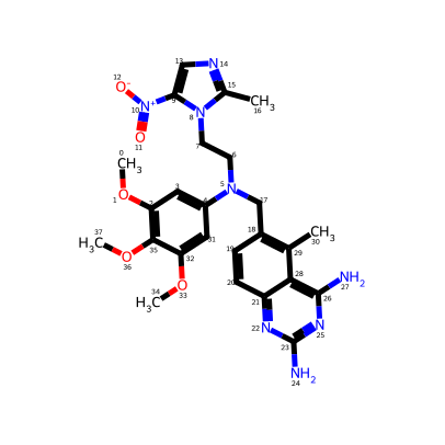 COc1cc(N(CCn2c([N+](=O)[O-])cnc2C)Cc2ccc3nc(N)nc(N)c3c2C)cc(OC)c1OC